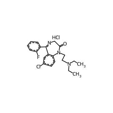 CCN(CC)CCN1C(=O)CN=C(c2ccccc2F)c2cc(Cl)ccc21.Cl